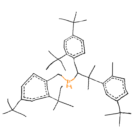 Cc1ccc(C(C)(C)C)cc1C(C)(C)C(PCc1ccc(C(C)(C)C)cc1C(C)(C)C)c1ccc(C(C)(C)C)cc1C(C)(C)C